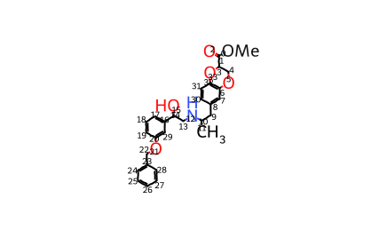 COC(=O)C1COc2cc(CC(C)NCC(O)c3cccc(OCc4ccccc4)c3)ccc2O1